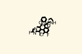 NC(=O)c1cn2cc(F)nc2c(F)c1-c1c(Cl)c(F)cc2c1C[C@](c1ccccc1)([C@@H]1CCCN1)O2